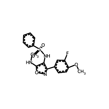 CNc1onc(-c2ccc(OC)c(F)c2)c1NS(=O)(=O)c1ccccc1